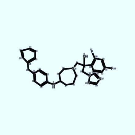 OC(CN1CCCC(Nc2ccc(Cc3ccccc3)cc2)CC1)(Cn1cncn1)c1ccc(F)cc1F